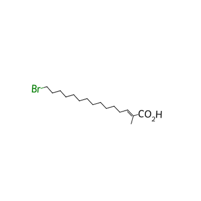 C/C(=C\CCCCCCCCCCCCBr)C(=O)O